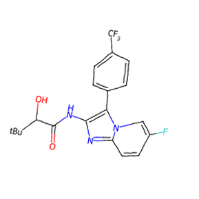 CC(C)(C)C(O)C(=O)Nc1nc2ccc(F)cn2c1-c1ccc(C(F)(F)F)cc1